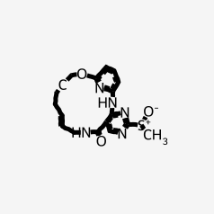 C[S+]([O-])c1ncc2c(n1)Nc1cccc(n1)OCCCC/C=C/CNC2=O